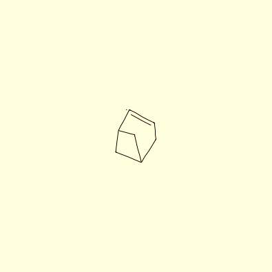 [C]1=CCC2CC1C2